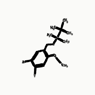 COc1cc(F)c(Br)cc1CO[Si](C)(C)C(C)(C)C